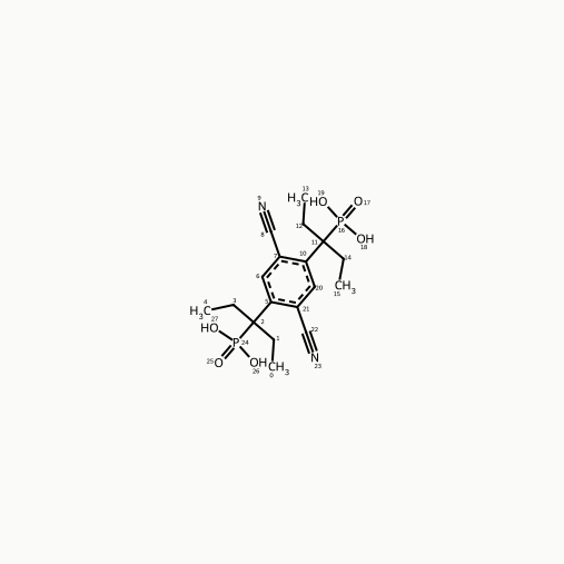 CCC(CC)(c1cc(C#N)c(C(CC)(CC)P(=O)(O)O)cc1C#N)P(=O)(O)O